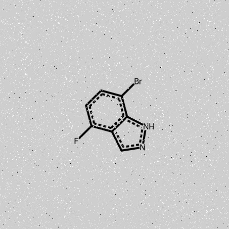 Fc1ccc(Br)c2[nH]ncc12